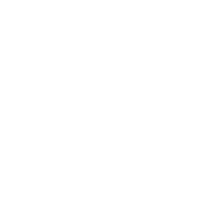 COc1cc(Oc2ccc(Cl)cc2Cl)ccc1I